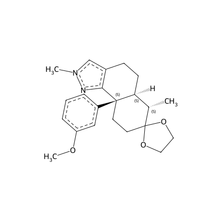 COc1cccc([C@]23CCC4(OCCO4)[C@@H](C)[C@@H]2CCc2cn(C)nc23)c1